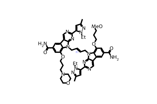 CCn1nc(C)cc1-c1ncc2c3cc(C(N)=O)cc(OCCCOC)c3n(C/C=C/Cn3c4nc(-c5cc(C)nn5CC)ncc4c4cc(C(N)=O)cc(OCCCN5CCOCC5)c43)c2n1